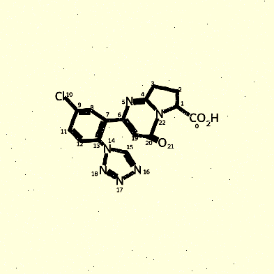 O=C(O)C1CCc2nc(-c3cc(Cl)ccc3-n3cnnn3)cc(=O)n21